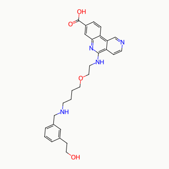 O=C(O)c1ccc2c(c1)nc(NCCOCCCCNCc1cccc(CCO)c1)c1ccncc12